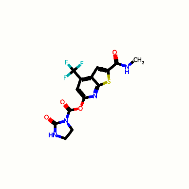 CNC(=O)c1cc2c(C(F)(F)F)cc(OC(=O)N3CCNC3=O)nc2s1